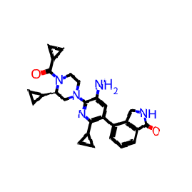 Nc1cc(-c2cccc3c2CNC3=O)c(C2CC2)nc1N1CCN(C(=O)C2CC2)[C@H](C2CC2)C1